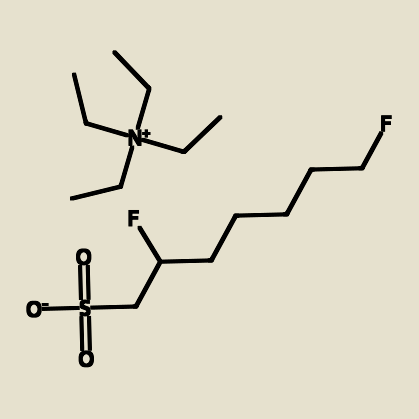 CC[N+](CC)(CC)CC.O=S(=O)([O-])CC(F)CCCCCF